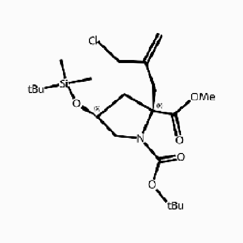 C=C(CCl)C[C@]1(C(=O)OC)C[C@H](O[Si](C)(C)C(C)(C)C)CN1C(=O)OC(C)(C)C